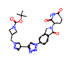 CC(C)(C)OC(=O)N1CC(Cn2cc(-c3cn(-c4ccc5c(c4)CN(C4CCC(=O)NC4=O)C5=O)nn3)cn2)C1